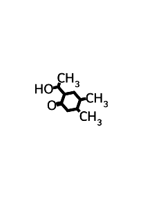 CC(O)C1CC(C)C(C)CC1=O